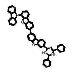 c1ccc(C2=NC(c3ccc4c(c3)oc3ccc(-c5ccc6c(c5)oc5c(-n7c8ccccc8c8ccccc87)cccc56)cc34)NC(c3ccccc3)N2)cc1